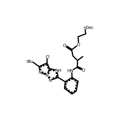 CCCCCCCCCCCCOC(=O)CC(C)C(=O)Nc1ccccc1-c1nn2nc(C(C)(C)C)c(Cl)c2[nH]1